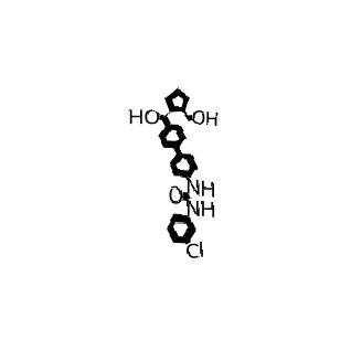 O=C(Nc1ccc(-c2ccc(C(O)[C@@H]3CCC[C@H]3CO)cc2)cc1)Nc1cccc(Cl)c1